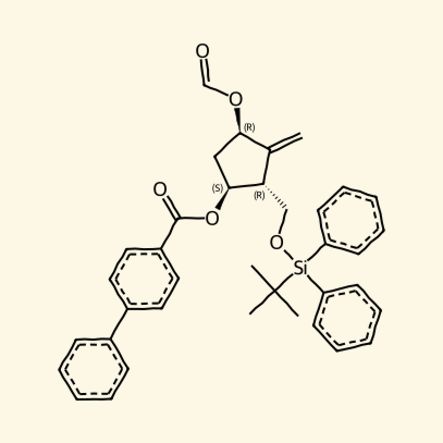 C=C1[C@H](OC=O)C[C@H](OC(=O)c2ccc(-c3ccccc3)cc2)[C@H]1CO[Si](c1ccccc1)(c1ccccc1)C(C)(C)C